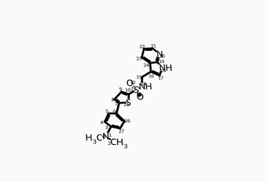 CN(C)c1ccc(-c2ccc(S(=O)(=O)NCc3c[nH]c4ncccc34)s2)cc1